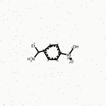 CCC(N)c1ccc([AsH](=O)O)cc1